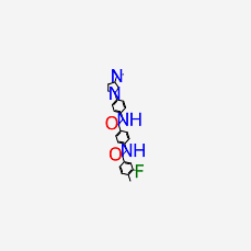 Cc1ccc(C(=O)Nc2ccc(C(=O)Nc3ccc(N4CCC(N(C)C)C4)cc3)cc2)cc1F